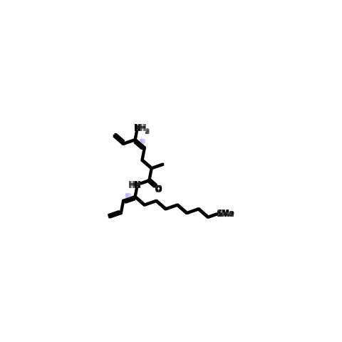 C=C/C=C(\CCCCCCCSC)NC(=O)C(C)C/C=C(/N)C=C